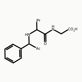 CC(=O)C(NC(C(=O)NCC(=O)O)C(C)C)c1ccccc1